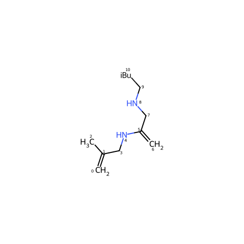 C=C(C)CNC(=C)CNCC(C)CC